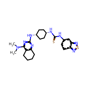 CN(C)c1nc(N[C@H]2CC[C@@H](NC(=S)Nc3ccc4nsnc4c3)CC2)nc2c1CCCC2